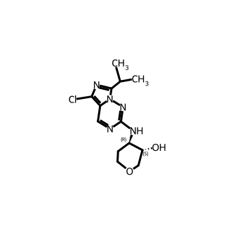 CC(C)c1nc(Cl)c2cnc(N[C@@H]3CCOC[C@H]3O)nn12